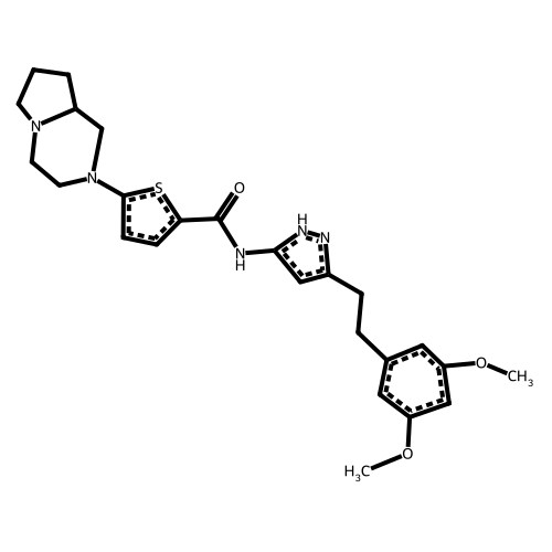 COc1cc(CCc2cc(NC(=O)c3ccc(N4CCN5CCCC5C4)s3)[nH]n2)cc(OC)c1